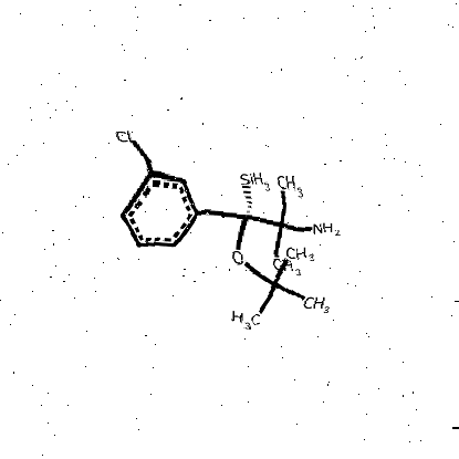 CC(C)(C)O[C@@]([SiH3])(c1cccc(Cl)c1)C(C)(C)N